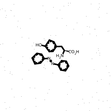 N[C@@H](Cc1ccc(O)cc1)C(=O)O.c1ccc(N=Nc2ccccc2)cc1